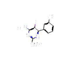 CSc1nc(N)c(I)c(-c2cccc(C(F)(F)F)c2)n1